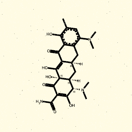 Cc1cc(N(C)C)c2c(c1O)C(=O)C1=C(O)[C@]3(O)C(=O)C(C(N)=O)=C(O)[C@@H](N(C)C)[C@@H]3C[C@@H]1C2